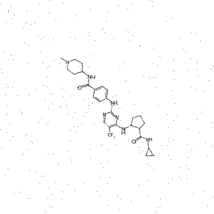 CN1CCC(NC(=O)c2ccc(Nc3ncc(C(F)(F)F)c(NC4CCCC4C(=O)NC4CC4)n3)cc2)CC1